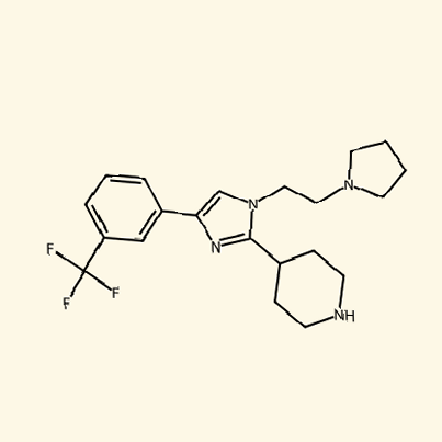 FC(F)(F)c1cccc(-c2cn(CCN3CCCC3)c(C3CCNCC3)n2)c1